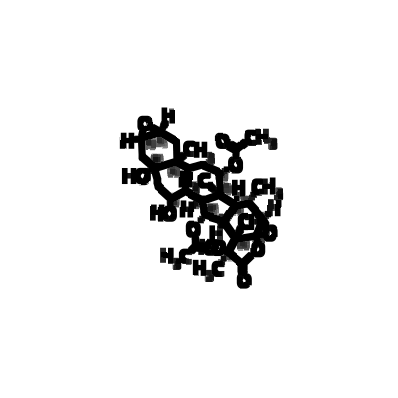 CC(=O)O[C@H]1[C@@H]2[C@H]([C@H](C)[C@H]3O[C@]34OC(=O)[C@@](C)(O)[C@]24C)[C@@]2(C)[C@@H](OC(C)=O)CC3C([C@H]12)[C@@H](O)C[C@@]1(O)C[C@@H]2O[C@@H]2C[C@]31C